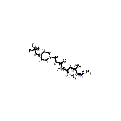 C=C(/C=C(Br)\C=C/C)NC(=O)CCN1CCN(CC(F)(F)F)CC1